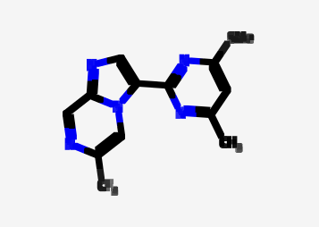 CSc1cc(C)nc(-c2cnc3cnc(C(F)(F)F)cn23)n1